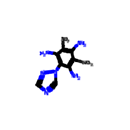 Nc1c(-n2cncn2)c(N)c([N+](=O)[O-])c(N)c1[N+](=O)[O-]